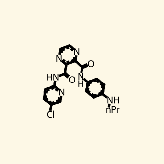 CCCNc1ccc(NC(=O)c2nccnc2C(=O)Nc2ccc(Cl)cn2)cc1